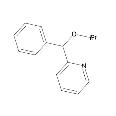 CC(C)OC(c1ccccc1)c1ccccn1